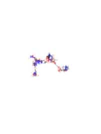 C=C1C[C@H]2C=Nc3cc(OCCCCCOc4cc5c(cc4OC)C(=O)N4CC(=C)C[C@H]4[C@H](O)N5C(=O)OCc4ccc(NC(=O)[C@H](CCCNC(N)=O)NC(=O)[C@@H](NC(=O)CCCCCN5C(=O)CC(S)C5=O)C(C)C)cc4)c(OC)cc3C(=O)N2C1